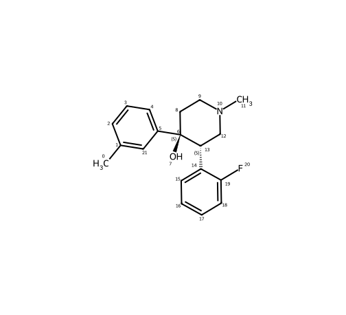 Cc1cccc([C@]2(O)CCN(C)C[C@@H]2c2ccccc2F)c1